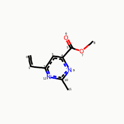 C=Cc1cc(C(=O)OC)nc(C)n1